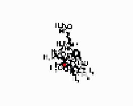 CC[C@H](C)[C@@H]([C@@H](CC(N)=O)OC)N(C)C(=O)[C@@H](NC(=O)[C@H](C(C)C)N(C)C(=O)OCc1ccc(NC(=O)[C@@H](N)CCCNC(N)=O)cc1)C(C)C